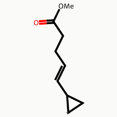 COC(=O)CCC=CC1[CH]C1